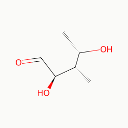 C[C@@H]([C@H](C)O)[C@@H](O)C=O